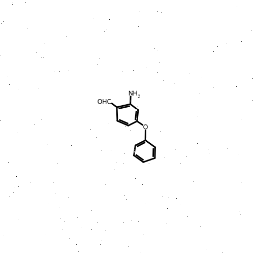 Nc1cc(Oc2ccccc2)ccc1C=O